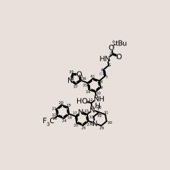 CC(C)(C)OC(=O)NC/C=C/c1cc(NC(O)N2c3nc(-c4cccc(C(F)(F)F)c4)ccc3N3CCC[C@H]2C3)cc(-c2cnco2)c1